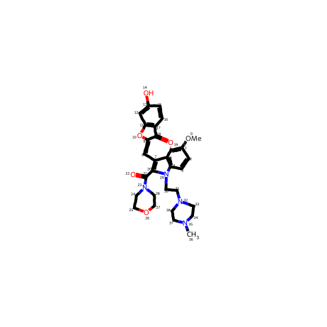 COc1ccc2c(c1)c(C=C1Oc3cc(O)ccc3C1=O)c(C(=O)N1CCOCC1)n2CCN1CCN(C)CC1